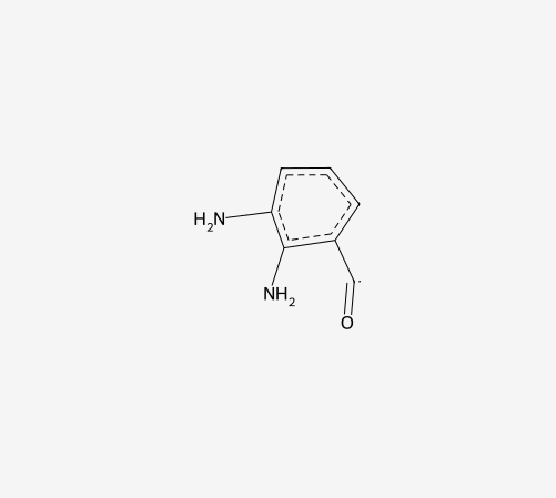 Nc1cccc([C]=O)c1N